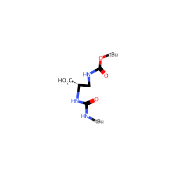 CC(C)(C)NC(=O)N[C@@H](CNC(=O)OC(C)(C)C)C(=O)O